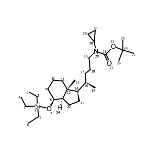 CC[Si](CC)(CC)O[C@H]1CCC[C@]2(C)[C@@H]([C@H](C)CCCN(C(=O)OC(C)(C)C)C3CC3)CC[C@@H]12